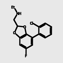 CCNCC1Oc2cc(F)cc(-c3ccccc3Cl)c2O1